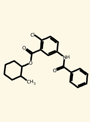 CC1CCCCC1OC(=O)c1cc(NC(=O)c2ccccc2)ccc1Cl